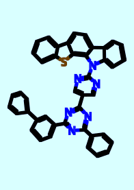 c1ccc(-c2cccc(-c3nc(-c4ccccc4)nc(-c4cnc(-n5c6ccccc6c6ccc7c8ccccc8sc7c65)nc4)n3)c2)cc1